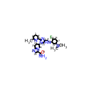 Cc1cccc(-c2nc(CNc3cc(N(C)C)ccc3F)cn2-c2ccc3ncc(C(N)=O)n3c2)n1